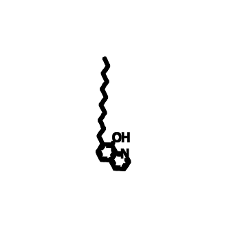 CCCCCCCCCCCc1ccc2cccnc2c1O